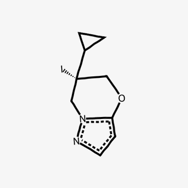 I[C@]1(C2CC2)COc2ccnn2C1